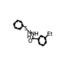 CCc1cccc(C(=O)NNSc2ccccc2)c1